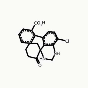 O=C(O)c1ccccc1-c1ccc(Cl)c2c1C1(CCCCC1=O)NCN2